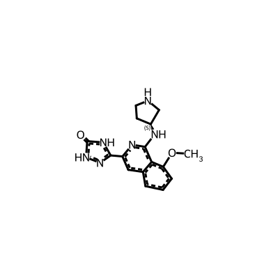 COc1cccc2cc(-c3n[nH]c(=O)[nH]3)nc(N[C@H]3CCNC3)c12